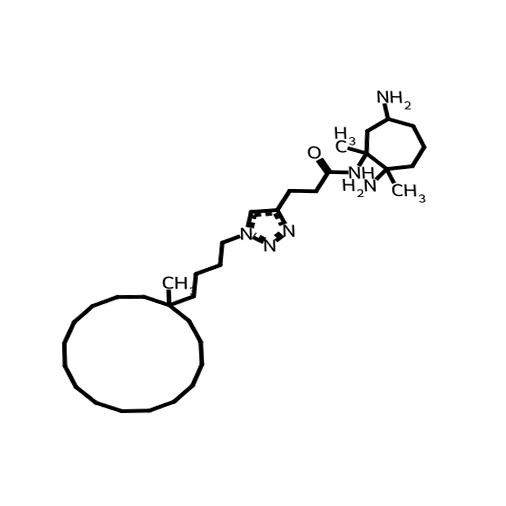 CC1(CCCCn2cc(CCC(=O)NC3(C)CC(N)CCCC3(C)N)nn2)CCCCCCCCCCCCCCC1